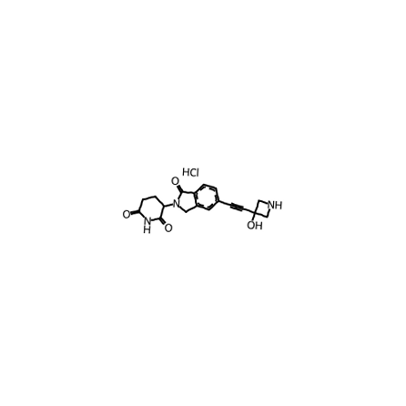 Cl.O=C1CCC(N2Cc3cc(C#CC4(O)CNC4)ccc3C2=O)C(=O)N1